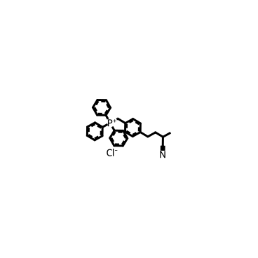 CC(C#N)CCc1ccc(C[P+](c2ccccc2)(c2ccccc2)c2ccccc2)cc1.[Cl-]